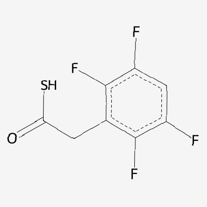 O=C(S)Cc1c(F)c(F)cc(F)c1F